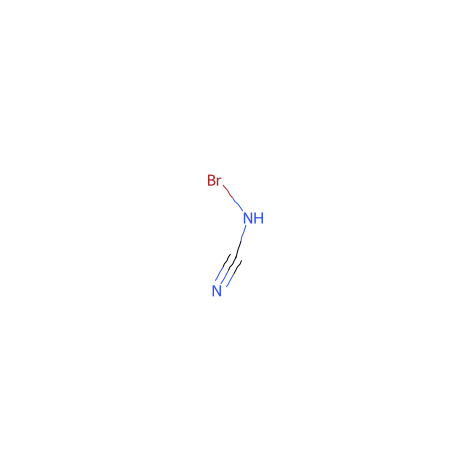 N#CNBr